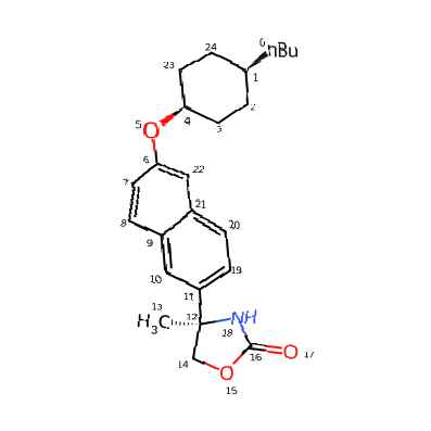 CCCC[C@H]1CC[C@@H](Oc2ccc3cc([C@]4(C)COC(=O)N4)ccc3c2)CC1